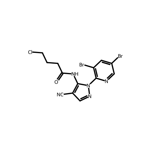 N#Cc1cnn(-c2ncc(Br)cc2Br)c1NC(=O)CCCCl